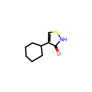 O=c1[nH]scc1C1CCCCC1